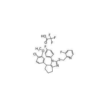 COc1cc(C2CCCc3nc(SCc4ncccc4F)n(-c4ccc(F)cc4)c32)ccc1Cl.O=C(O)C(F)(F)F